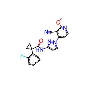 COc1nccc(-n2ccc(NC(=O)C3(c4ccccc4F)CC3)n2)c1C#N